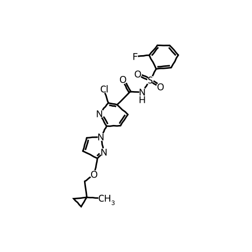 CC1(COc2ccn(-c3ccc(C(=O)NS(=O)(=O)c4ccccc4F)c(Cl)n3)n2)CC1